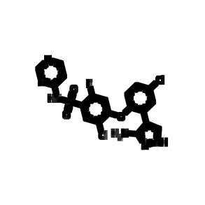 Nc1n[nH]cc1-c1cc(Cl)ccc1Oc1cc(F)c(S(=O)(=O)Nc2ccncn2)cc1Cl